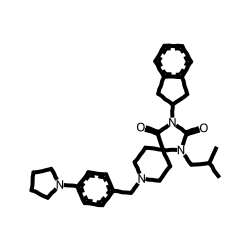 CC(C)CN1C(=O)N(C2Cc3ccccc3C2)C(=O)C12CCN(Cc1ccc(N3CCCC3)cc1)CC2